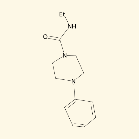 CCNC(=O)N1CCN(c2ccccc2)CC1